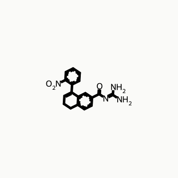 NC(N)=NC(=O)c1ccc2c(c1)C(c1ccccc1[N+](=O)[O-])=CCC2